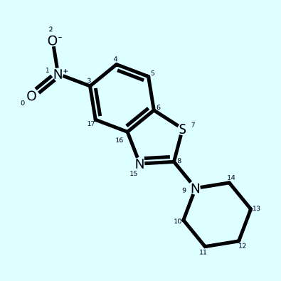 O=[N+]([O-])c1ccc2sc(N3CCCCC3)nc2c1